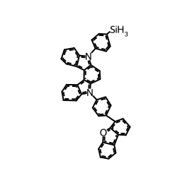 [SiH3]c1ccc(-n2c3ccccc3c3c4c5ccccc5n(-c5ccc(-c6cccc7c6oc6ccccc67)cc5)c4ccc32)cc1